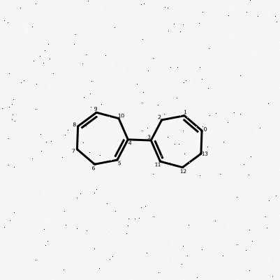 C1=CCC(C2=CCCC=CC2)=CCC1